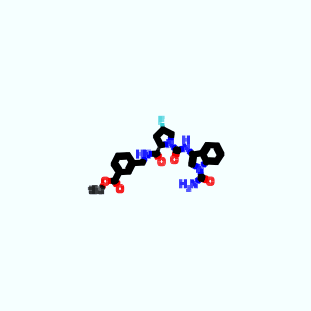 CC(C)(C)OC(=O)c1cccc(CNC(=O)[C@@H]2C[C@@H](F)CN2C(=O)Nc2cn(C(N)=O)c3ccccc23)c1